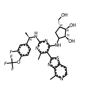 Cc1nc(N[C@H](C)c2ccc(OC(F)(F)F)c(F)c2)nc(NC2C[C@H](CO)[C@@H](O)[C@H]2O)c1-c1nc2c(C)nccc2s1